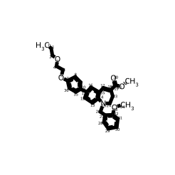 CCCOCCOc1ccc(-c2ccc3c(c2)C=C(C(=O)OC)CCN3Cc2ccccc2OC)cc1